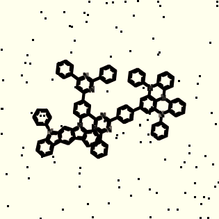 c1ccc(-c2cc(-c3ccc(-n4c5ccccc5c5cc6c7ccccc7n(-c7ccccc7)c6cc54)c(-c4nc(-c5ccccc5)nc(-c5ccc(-c6cc7c8c(c6)N(c6ccccc6)c6ccccc6B8c6ccccc6N7c6ccccc6)cc5)n4)c3)nc(-c3ccccc3)n2)cc1